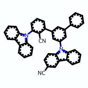 N#Cc1ccc2c(c1)c1ccccc1n2-c1cc(-c2ccccc2)cc(-c2cccc(-n3c4ccccc4c4ccccc43)c2C#N)c1